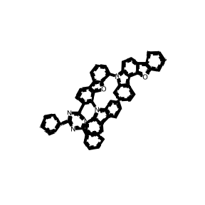 c1ccc(-c2nc(-c3ccccc3)nc(-c3ccc4c(oc5c(-n6c7ccccc7c7c8oc9ccccc9c8ccc76)cccc54)c3-n3c4ccccc4c4ccccc43)n2)cc1